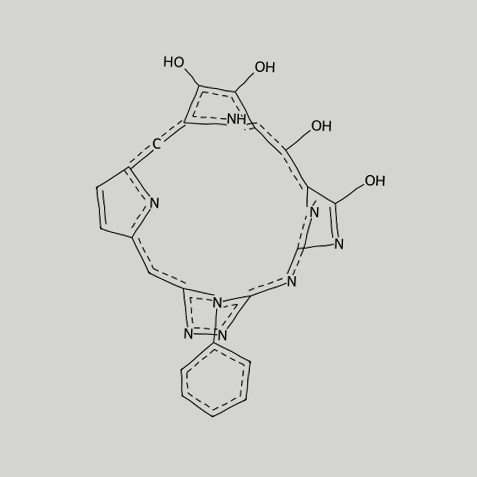 OC1=Nc2nc1c(O)c1[nH]c(cc3nc(cc4nnc(n2)n4-c2ccccc2)C=C3)c(O)c1O